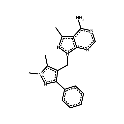 Cc1nn(Cc2c(-c3ccccc3)nn(C)c2C)c2ncnc(N)c12